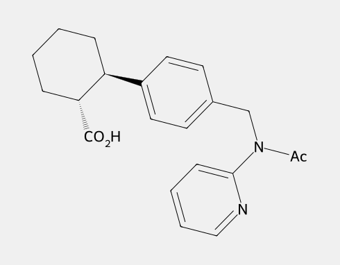 CC(=O)N(Cc1ccc([C@@H]2CCCC[C@H]2C(=O)O)cc1)c1ccccn1